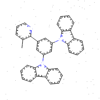 Cc1cccnc1-c1cc(-n2c3ccccc3c3ccccc32)cc(-n2c3ccccc3c3ccccc32)c1